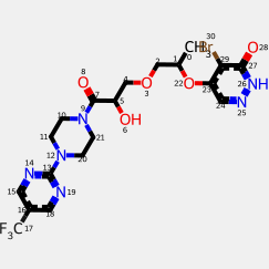 CC(COCC(O)C(=O)N1CCN(c2ncc(C(F)(F)F)cn2)CC1)Oc1cn[nH]c(=O)c1Br